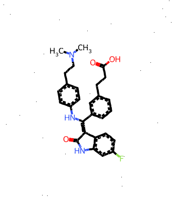 CN(C)CCc1ccc(N/C(=C2\C(=O)Nc3cc(F)ccc32)c2cccc(CCC(=O)O)c2)cc1